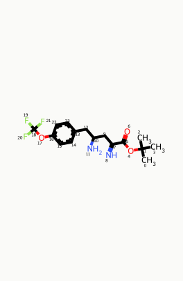 CC(C)(C)OC(=O)C(=N)CC(N)Cc1ccc(OC(F)(F)F)cc1